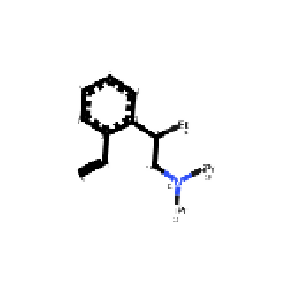 C=Cc1ccccc1C(CC)CN(C(C)C)C(C)C